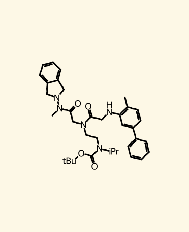 Cc1ccc(-c2ccccc2)cc1NCC(=O)N(CCN(C(=O)OC(C)(C)C)C(C)C)CC(=O)N(C)N1Cc2ccccc2C1